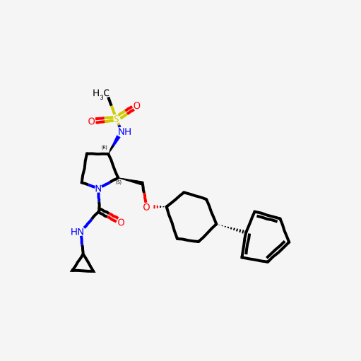 CS(=O)(=O)N[C@@H]1CCN(C(=O)NC2CC2)[C@@H]1CO[C@H]1CC[C@@H](c2ccccc2)CC1